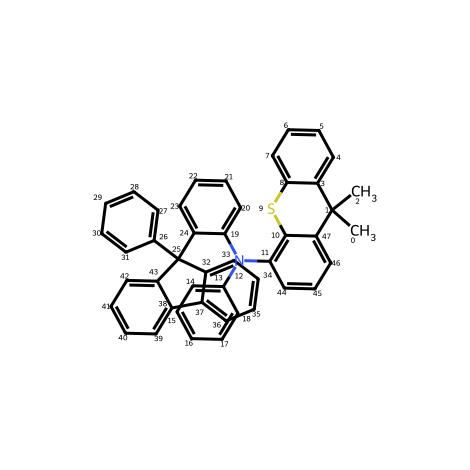 CC1(C)c2ccccc2Sc2c(N(c3ccccc3)c3ccccc3C3(c4ccccc4)c4ccccc4-c4ccccc43)cccc21